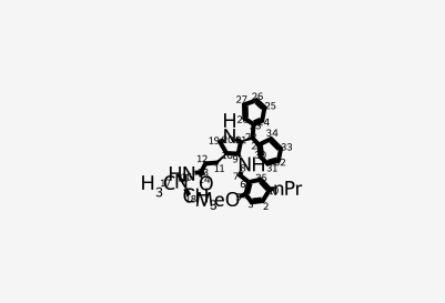 CCCc1ccc(OC)c(CN[C@H]2[C@@H](CCC(=O)NN(C)C)CN[C@H]2C(c2ccccc2)c2ccccc2)c1